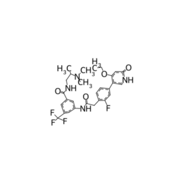 CCOc1cc(=O)[nH]cc1-c1ccc(CC(=O)Nc2cc(C(=O)NCC(C)N(C)C)cc(C(F)(F)F)c2)c(F)c1